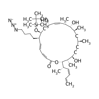 C=C/C=C\[C@H](C)[C@@H]1OC(=O)/C=C\C=C\[C@@H](CCCCN=[N+]=[N-])[C@@H](O[Si](C)(C)C(C)(C)C)C[C@H](O)/C=C\[C@H](C)[C@H](O)[C@@H](C)C[C@@H](C)CC[C@@H](O)[C@@H]1C